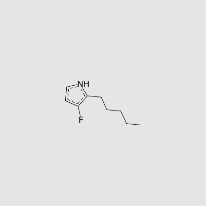 CCCCCc1[nH]ccc1F